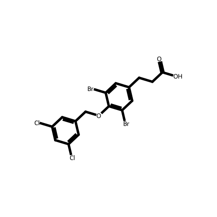 O=C(O)CCc1cc(Br)c(OCc2cc(Cl)cc(Cl)c2)c(Br)c1